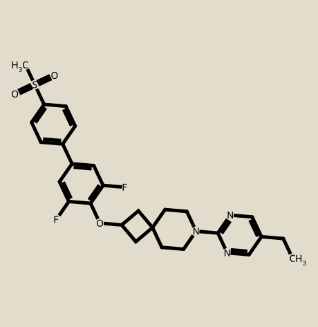 CCc1cnc(N2CCC3(CC2)CC(Oc2c(F)cc(-c4ccc(S(C)(=O)=O)cc4)cc2F)C3)nc1